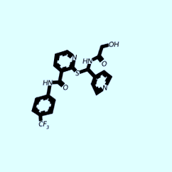 O=C(CO)NC(Sc1ncccc1C(=O)Nc1ccc(C(F)(F)F)cc1)c1ccncc1